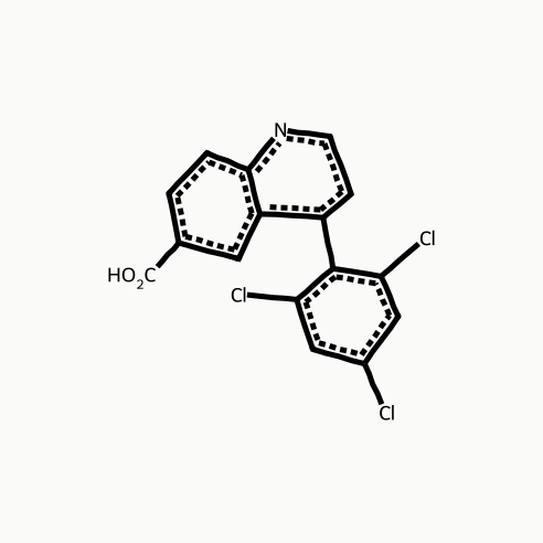 O=C(O)c1ccc2nccc(-c3c(Cl)cc(Cl)cc3Cl)c2c1